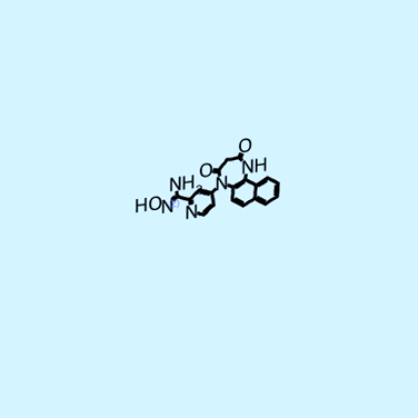 N/C(=N\O)c1cc(N2C(=O)CC(=O)Nc3c2ccc2ccccc32)ccn1